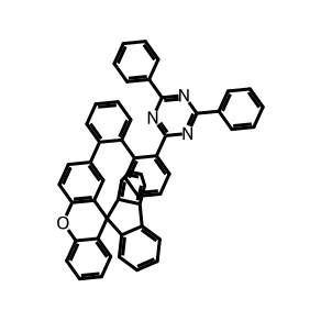 c1ccc(-c2nc(-c3ccccc3)nc(-c3ccccc3-c3ccccc3-c3ccc4c(c3)C3(c5ccccc5O4)c4ccccc4-c4ccccc43)n2)cc1